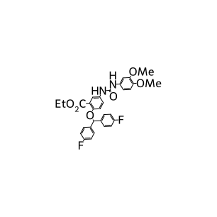 CCOC(=O)c1cc(NC(=O)Nc2ccc(OC)c(OC)c2)ccc1OC(c1ccc(F)cc1)c1ccc(F)cc1